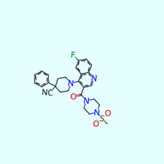 CS(=O)(=O)N1CCN(C(=O)c2cnc3ccc(F)cc3c2N2CCC(C#N)(c3ccccc3)CC2)CC1